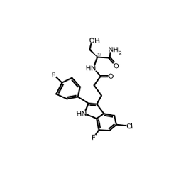 NC(=O)[C@H](CO)NC(=O)CCc1c(-c2ccc(F)cc2)[nH]c2c(F)cc(Cl)cc12